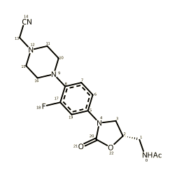 CC(=O)NC[C@H]1CN(c2ccc(N3CCN(CC#N)CC3)c(F)c2)C(=O)O1